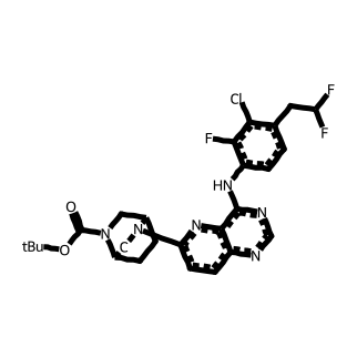 CC(C)(C)OC(=O)N1CC2CCC1CN2c1ccc2ncnc(Nc3ccc(CC(F)F)c(Cl)c3F)c2n1